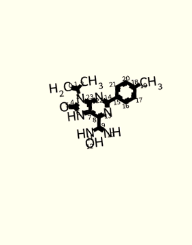 C=C(C)n1c(=O)[nH]c2c(C(=N)NO)nc(-c3ccc(C)cc3)nc21